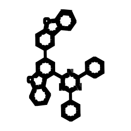 c1ccc2c(c#1)oc1ccc(-c3cc(-c4nc(-c5ccccc5)nc(-c5ccccc5)n4)c4c(c3)oc3ccccc34)cc12